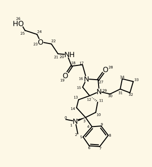 CN(C)[C@]1(c2ccccc2)CC[C@]2(CC1)CN(CC(=O)NCCOCCO)C(=O)N2CC1CCC1